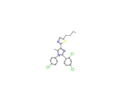 CCCCc1cnc(-c2nc(-c3ccc(Cl)cc3Cl)n(-c3ccc(Cl)cc3)c2C)s1